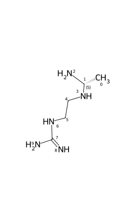 C[C@@H](N)NCCNC(=N)N